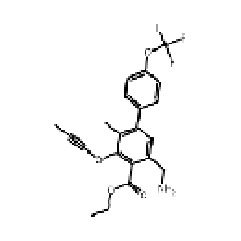 CC#COc1c(C)c(-c2ccc(OC(F)(F)F)cc2)cc(CN)c1C(=O)OCC